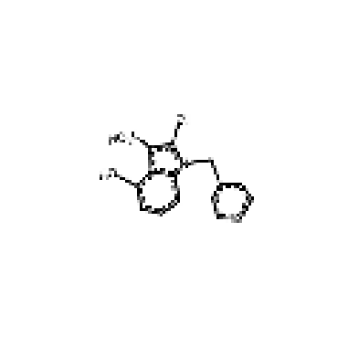 CCc1c(C(=O)O)c2c(O)cccc2n1Cc1ccccc1